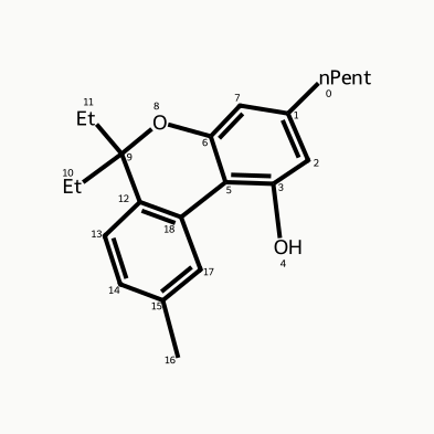 CCCCCc1cc(O)c2c(c1)OC(CC)(CC)c1ccc(C)cc1-2